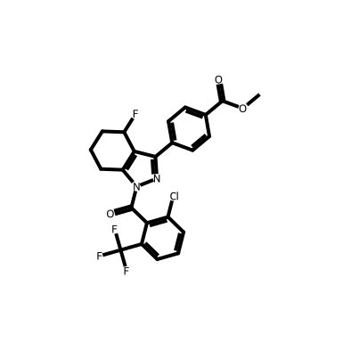 COC(=O)c1ccc(-c2nn(C(=O)c3c(Cl)cccc3C(F)(F)F)c3c2C(F)CCC3)cc1